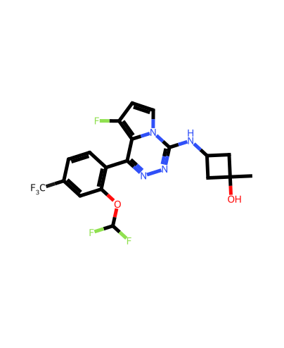 CC1(O)CC(Nc2nnc(-c3ccc(C(F)(F)F)cc3OC(F)F)c3c(F)ccn23)C1